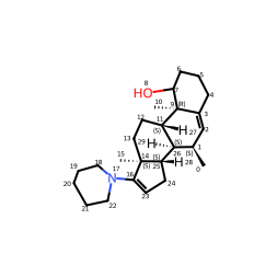 C[C@@H]1C=C2CCCC(O)[C@]2(C)[C@H]2CC[C@]3(C)C(N4CCCCC4)=CC[C@H]3[C@H]12